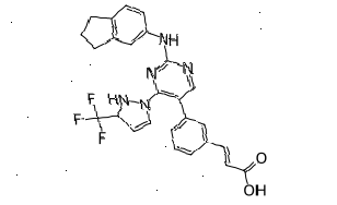 O=C(O)/C=C/c1cccc(-c2cnc(Nc3ccc4c(c3)CCC4)nc2N2C=CC(C(F)(F)F)N2)c1